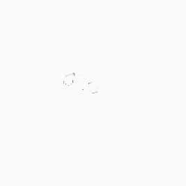 CC1COC(C2CCC(c3ccc(C(F)(F)Oc4cc(F)c(F)c(F)c4)c(F)c3F)CC2)OC1